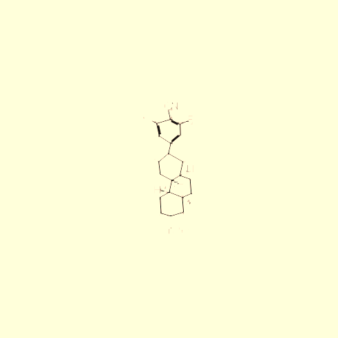 CCCCC[C@@H]1CC[C@H]2[C@@H](CC[C@@H]3CC(c4cc(F)c(C#N)c(F)c4)CC[C@H]32)C1